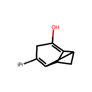 CC(C)C1=C2C3CC2C3=C(O)C1